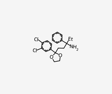 CCC(N)(CCC1(c2ccc(Cl)c(Cl)c2)OCCO1)c1ccccc1